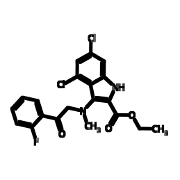 CCOC(=O)c1[nH]c2cc(Cl)cc(Cl)c2c1N(C)CC(=O)c1ccccc1F